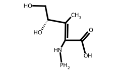 C/C(=C(/NP)C(=O)O)[C@H](O)CO